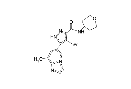 Cc1cc(-c2[nH]nc(C(=O)NC3CCOCC3)c2C(C)C)cn2ncnc12